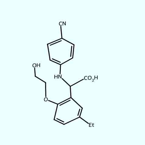 CCc1ccc(OCCO)c(C(Nc2ccc(C#N)cc2)C(=O)O)c1